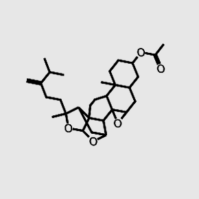 C=C(CCC1(C)OC2OC3CC1C21CCC2C4(C)CCC(OC(C)=O)CC4CC4OC42C31)C(C)C